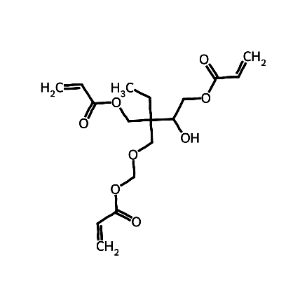 C=CC(=O)OCOCC(CC)(COC(=O)C=C)C(O)COC(=O)C=C